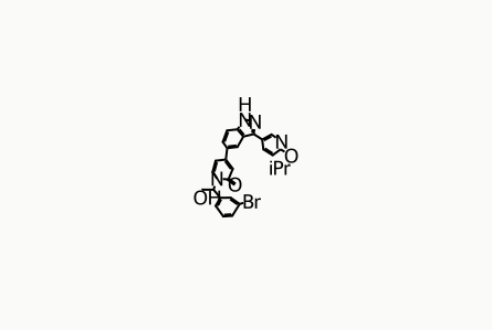 CC(C)Oc1ccc(-c2n[nH]c3ccc(-c4ccn(C(CO)c5cccc(Br)c5)c(=O)c4)cc23)cn1